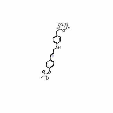 CCOC(=O)[C@@H](Cc1ccc(NC/C=C/c2ccc(OS(C)(=O)=O)cc2)cc1)OCC